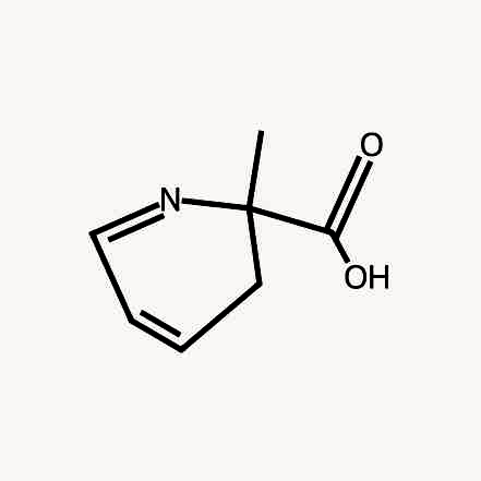 CC1(C(=O)O)CC=CC=N1